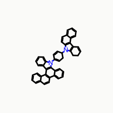 C1=Cc2c(n(C3C=CC(n4c5ccccc5c5c6c7ccccc7ccc6c6ccccc6c54)=CC3)c3ccc4ccccc4c23)CC1